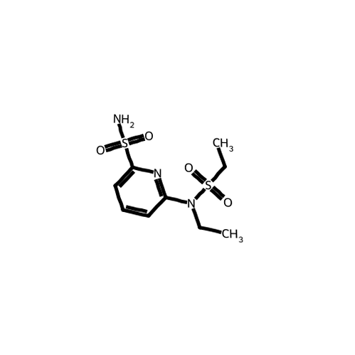 CCN(c1cccc(S(N)(=O)=O)n1)S(=O)(=O)CC